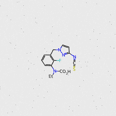 CCN(C(=O)O)c1cccc(Cn2ccc(N=C=S)n2)c1F